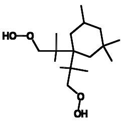 CC1CC(C)(C)CC(C(C)(C)COO)(C(C)(C)COO)C1